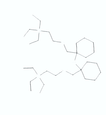 CC[Si](CC)(CC)CCOCC1(OC2(COCC[Si](CC)(CC)CC)CCCCC2)CCCCC1